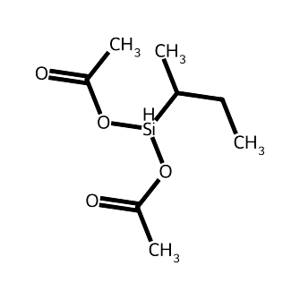 CCC(C)[SiH](OC(C)=O)OC(C)=O